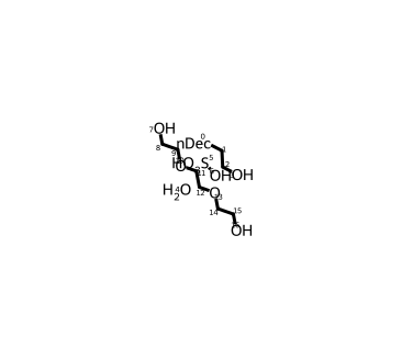 CCCCCCCCCCCCO.O.O=S(=O)(O)O.OCCOCCOCCO